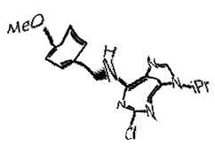 COc1ccc(CNc2nc(Cl)nc3c2ncn3C(C)C)cc1